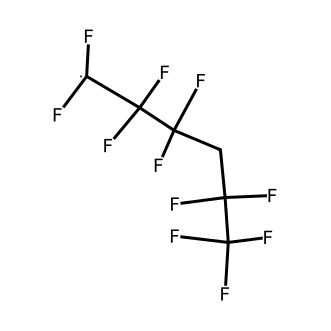 F[C](F)C(F)(F)C(F)(F)CC(F)(F)C(F)(F)F